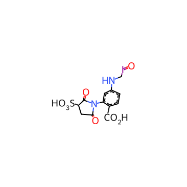 O=ICNc1ccc(C(=O)O)c(N2C(=O)CC(S(=O)(=O)O)C2=O)c1